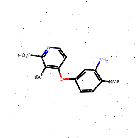 CNc1ccc(Oc2ccnc(C(=O)O)c2C(C)(C)C)cc1N